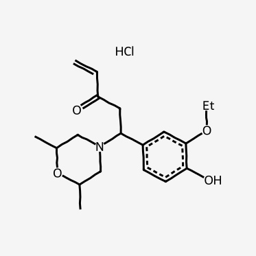 C=CC(=O)CC(c1ccc(O)c(OCC)c1)N1CC(C)OC(C)C1.Cl